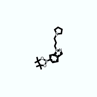 CC1(C)OB(c2ccc3cnn(CCCN4CCCC4)c3c2)OC1(C)C